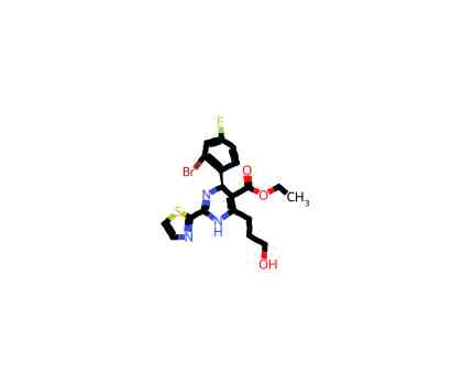 CCOC(=O)C1=C(CCCO)NC(c2nccs2)=N[C@H]1c1ccc(F)cc1Br